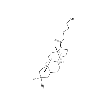 C#CC1(O)CC[C@@]2(C)C(CC[C@H]3[C@@H]4CC[C@H](C(=O)CSCCO)[C@@]4(C)CC[C@@H]32)C1